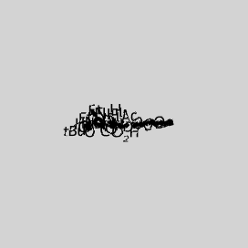 C#CCOCCOCCOCCOCCNC(=O)O[C@H]1[C@@H]([C@@H](NC(C)=O)C(CC)CC)[C@H](NC(=O)OC(C)(C)C)C[C@@H]1C(=O)O